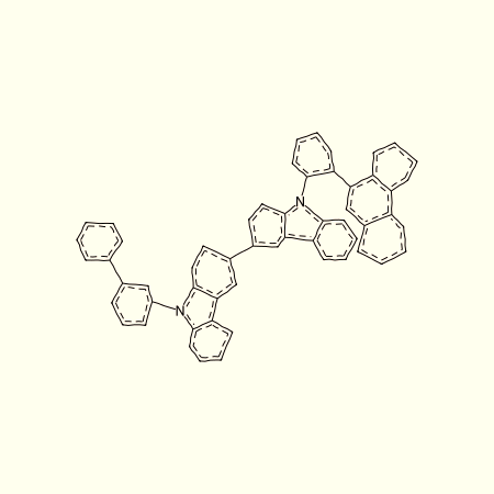 c1ccc(-c2cccc(-n3c4ccccc4c4cc(-c5ccc6c(c5)c5ccccc5n6-c5ccccc5-c5cc6ccccc6c6ccccc56)ccc43)c2)cc1